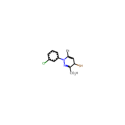 CCC1=CC(S)C(C(=O)O)=NN1c1cccc(Cl)c1